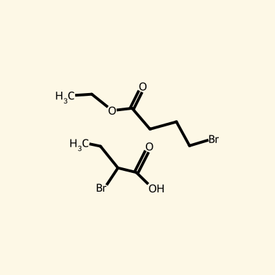 CCC(Br)C(=O)O.CCOC(=O)CCCBr